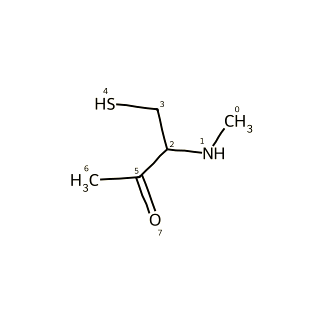 CNC(CS)C(C)=O